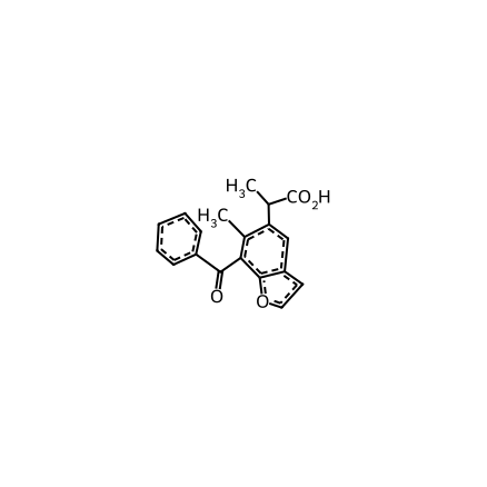 Cc1c(C(C)C(=O)O)cc2ccoc2c1C(=O)c1ccccc1